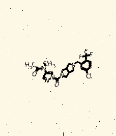 CC(=O)N(C)c1cnn(C(=O)N2CC3CN(Cc4cc(Cl)ccc4C(F)(F)F)CC3C2)c1